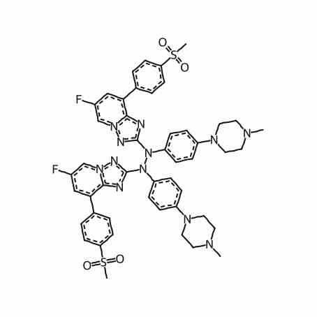 CN1CCN(c2ccc(N(c3nc4c(-c5ccc(S(C)(=O)=O)cc5)cc(F)cn4n3)N(c3ccc(N4CCN(C)CC4)cc3)c3nc4c(-c5ccc(S(C)(=O)=O)cc5)cc(F)cn4n3)cc2)CC1